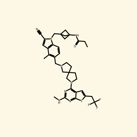 CCC(=O)NC12CC(Cn3c(C#N)cc4c(C)c(CN5CCC6(CCN(c7nc(NC)nc8sc(CC(F)(F)F)cc78)C6)C5)ccc43)(C1)C2